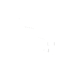 CCCCC.[BaH2].[LiH]